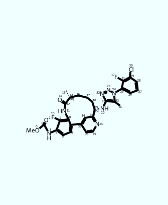 COC(=O)Nc1ccc2c(c1F)NC(=O)[C@H](C)CCC[C@H](Nc1nnn(-c3cccc(Cl)c3F)c1C)c1cc-2ccn1